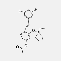 CC[Si](CC)(CC)Oc1cc(OC(C)=O)ccc1C=Cc1cc(F)cc(F)c1